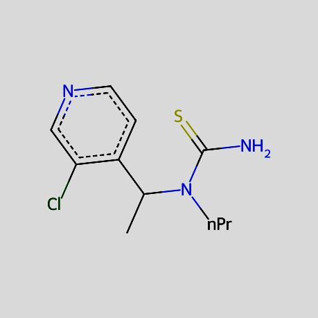 CCCN(C(N)=S)C(C)c1ccncc1Cl